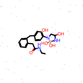 CCNC(=O)Cc1ccccc1Cc1ccc(N2CC(O)NS2(O)O)c(O)c1